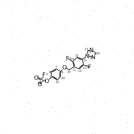 O=S(=O)(F)Oc1ccc(OCc2cc(F)c(-n3cncn3)cc2F)cc1